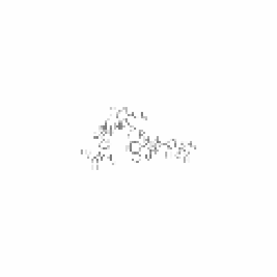 Cc1nc2c(c(NC(=O)N=S(N)(=O)c3cc(C(C)(C)O)cs3)c1C1CC1Cc1nc3c(c(NC(=O)/N=S(\N)c4cc(C(C)(C)O)cs4)c1C1CC1)CCC3)CCC2